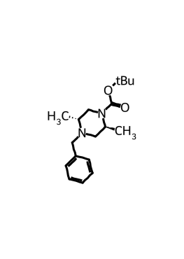 C[C@@H]1CN(C(=O)OC(C)(C)C)[C@@H](C)CN1Cc1ccccc1